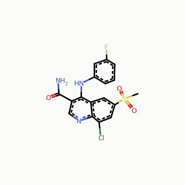 CS(=O)(=O)c1cc(Cl)c2ncc(C(N)=O)c(Nc3cccc(F)c3)c2c1